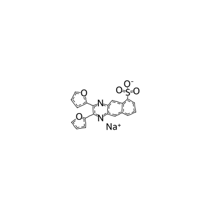 O=S(=O)([O-])c1cccc2cc3nc(-c4ccco4)c(-c4ccco4)nc3cc12.[Na+]